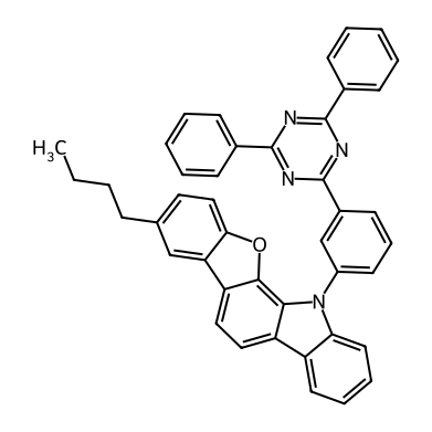 CCCCc1ccc2oc3c(ccc4c5ccccc5n(-c5cccc(-c6nc(-c7ccccc7)nc(-c7ccccc7)n6)c5)c43)c2c1